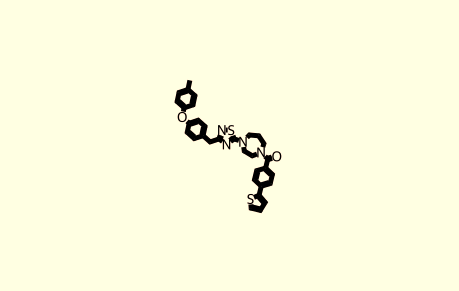 Cc1ccc(Oc2ccc(Cc3nsc(N4CCCN(C(=O)c5ccc(-c6cccs6)cc5)CC4)n3)cc2)cc1